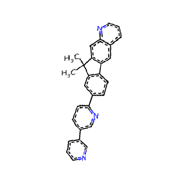 CC1(C)c2cc(-c3ccc(-c4cccnc4)cn3)ccc2-c2cc3cccnc3cc21